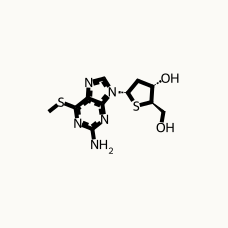 CSc1nc(N)nc2c1ncn2[C@@H]1C[C@H](O)[C@@H](CO)S1